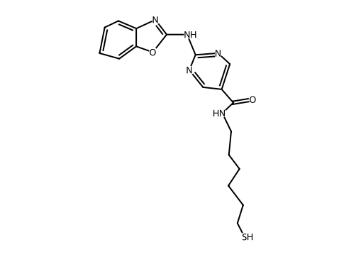 O=C(NCCCCCCS)c1cnc(Nc2nc3ccccc3o2)nc1